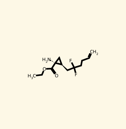 C=CCCC(F)(F)C[C@@H]1C[C@]1(N)C(=O)OCC